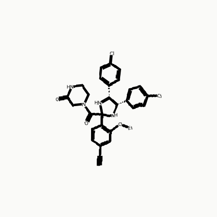 C#Cc1ccc(C2(C(=O)N3CCNC(=O)C3)N[C@H](c3ccc(Cl)cc3)[C@H](c3ccc(Cl)cc3)N2)c(OCC)c1